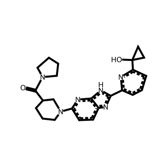 O=C(C1CCCN(c2ccc3nc(-c4cccc(C5(O)CC5)n4)[nH]c3n2)C1)N1CCCC1